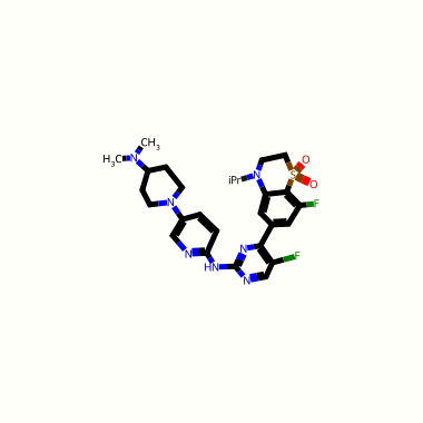 CC(C)N1CCS(=O)(=O)c2c(F)cc(-c3nc(Nc4ccc(N5CCC(N(C)C)CC5)cn4)ncc3F)cc21